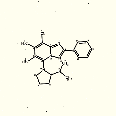 CCCCc1c(C)c(C#N)c2nc(-c3ccccc3)nn2c1N1CCCC1N(C)C